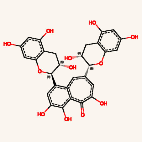 O=c1c(O)cc([C@H]2Oc3cc(O)cc(O)c3C[C@H]2O)cc2c([C@H]3Oc4cc(O)cc(O)c4C[C@@H]3O)cc(O)c(O)c12